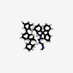 C\C=C/C=C\C(C)=C(/C)C1(c2cccc(Sc3c(C)cc(C)cc3-c3cccc(C(=C(C)C)c4ccccc4C)c3C)c2C)C2=C(CCC=C2)c2ccccc21